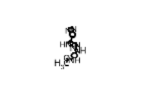 CC(=O)NC1CCC(Nc2ncc3c(-c4ccc5nccnc5c4)c[nH]c3n2)CC1